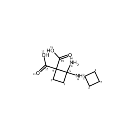 C1CCC1.NC1(N)CCC1(C(=O)O)C(=O)O